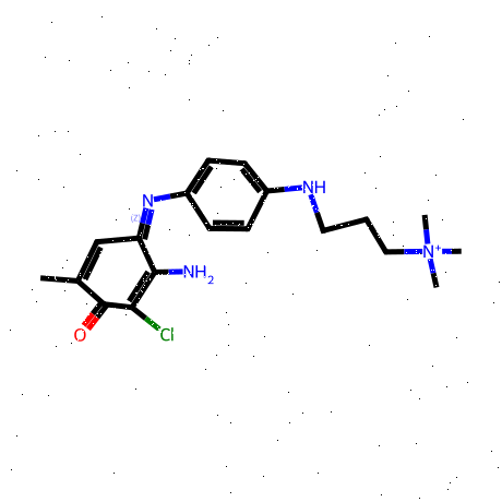 CC1=C/C(=N/c2ccc(NCCC[N+](C)(C)C)cc2)C(N)=C(Cl)C1=O